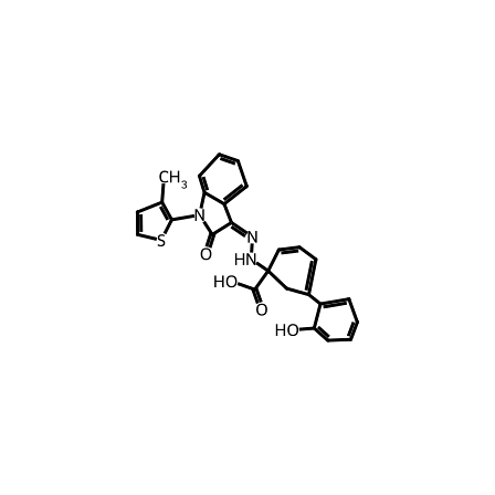 Cc1ccsc1N1C(=O)C(=NNC2(C(=O)O)C=CC=C(c3ccccc3O)C2)c2ccccc21